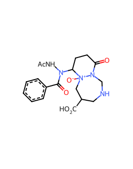 CC(=O)NN(C(=O)c1ccccc1)C1CCC(=O)N2CNCC(C(=O)O)C[N+]12[O-]